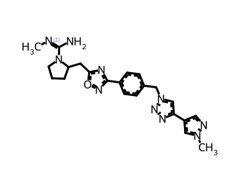 C/N=C(/N)N1CCCC1Cc1nc(-c2ccc(Cn3cc(-c4cnn(C)c4)nn3)cc2)no1